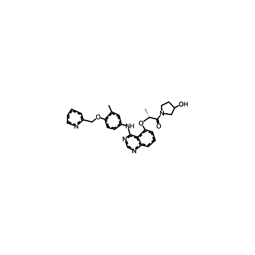 Cc1cc(Nc2ncnc3cccc(O[C@H](C)C(=O)N4CCC(O)C4)c23)ccc1OCc1ccccn1